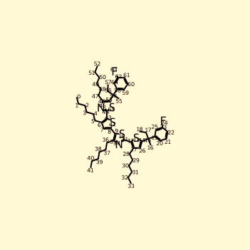 CCCCCCc1cc(-c2sc(-c3sc(C(C)(CC)c4cccc(F)c4)cc3CCCCCC)nc2CCCCCC)sc1-c1nc(CCCCCC)c(C(C)(CC)c2cccc(F)c2)s1